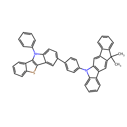 CC1(C)c2ccccc2-c2cc3c(cc21)c1ccccc1n3-c1ccc(-c2ccc3c(c2)c2sc4ccccc4c2n3-c2ccccc2)cc1